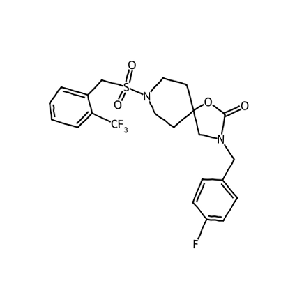 O=C1OC2(CCN(S(=O)(=O)Cc3ccccc3C(F)(F)F)CC2)CN1Cc1ccc(F)cc1